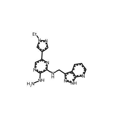 CCn1cc(-c2cnc(NN)c(NCc3n[nH]c4ncccc34)n2)cn1